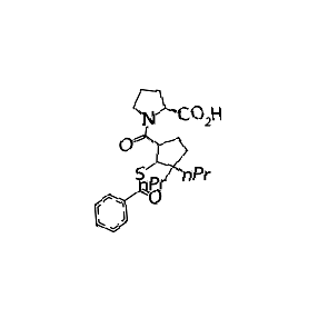 CCCC1(CCC)CCC(C(=O)N2CCC[C@H]2C(=O)O)C1SC(=O)c1ccccc1